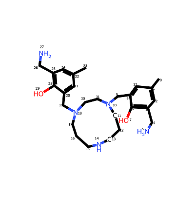 Cc1cc(CN)c(O)c(CN2CCCNCCCN(Cc3cc(C)cc(CN)c3O)CC2)c1